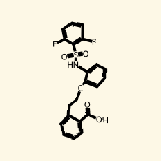 O=C(O)c1ccccc1CCCc1ccccc1NS(=O)(=O)c1c(F)cccc1F